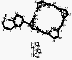 CN1CC=Cc2cc(-c3cc4cc5nc(cc6ccc(cc7nc(cc3[nH]4)C=C7)[nH]6)C=C5)ccc21.Cl.Cl.Cl.Cl